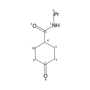 CC(C)NC(=O)C1CCC(=O)CC1